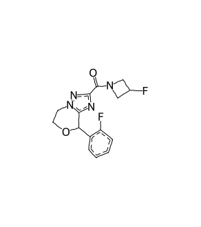 O=C(c1nc2n(n1)CCOC2c1ccccc1F)N1CC(F)C1